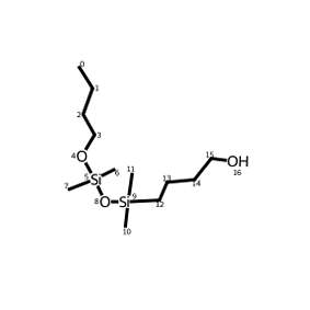 CCCCO[Si](C)(C)O[Si](C)(C)CCCCO